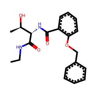 CCNC(=O)[C@@H](NC(=O)c1ccccc1OCc1ccccc1)[C@@H](C)O